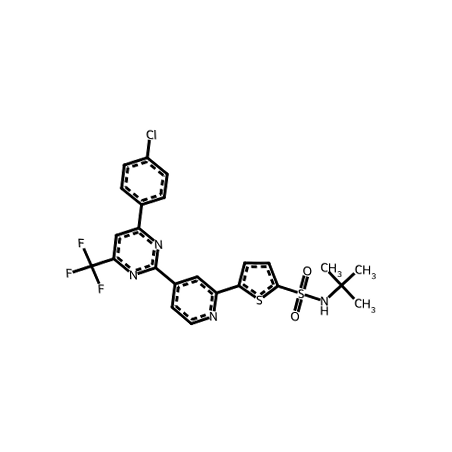 CC(C)(C)NS(=O)(=O)c1ccc(-c2cc(-c3nc(-c4ccc(Cl)cc4)cc(C(F)(F)F)n3)ccn2)s1